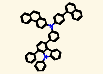 c1ccc(-c2ccc(-c3cccc(N(c4ccc(-c5cccc6ccccc56)cc4)c4ccc5c(ccc6ccccc65)c4)c3)c3c4ccccc4n(-c4ccccc4)c23)cc1